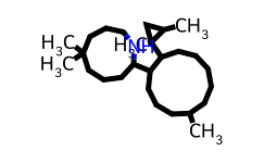 CC1CCCCCC(C2(C)CC2C)C(C2CCCC(C)(C)CCCN2)CCC1